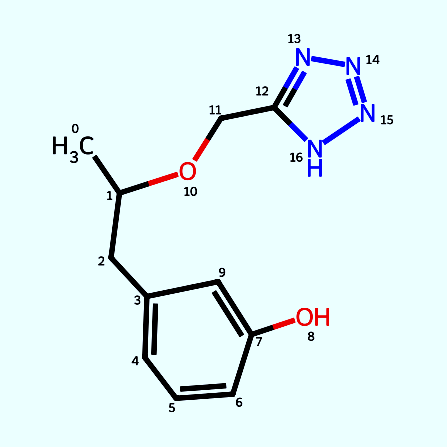 CC(Cc1cccc(O)c1)OCc1nnn[nH]1